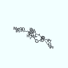 C=C1CC[C@H]([C@@H](N)CC(=O)N[C@H](C(=O)CCCC[C@@H](CC(C)C)C(=O)OC)[C@@H](C)CC)Cc2cccc(c2)C(C)[C@H](OC(=O)[C@@H](CCCC(=O)CC(C)C)CC(C)C)C(=O)C1